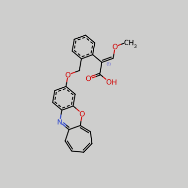 CO/C=C(/C(=O)O)c1ccccc1COc1ccc2c(c1)OC1=CC=CC=CC1=N2